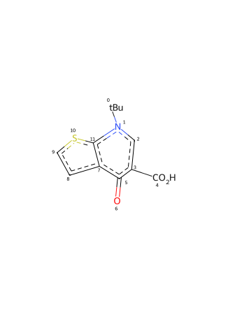 CC(C)(C)n1cc(C(=O)O)c(=O)c2ccsc21